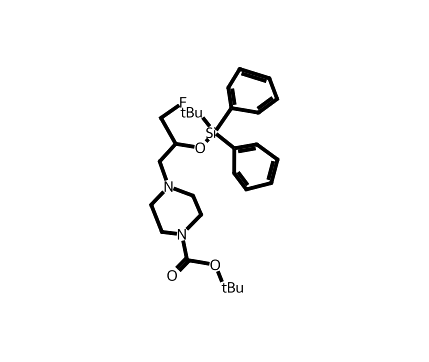 CC(C)(C)OC(=O)N1CCN(CC(CF)O[Si](c2ccccc2)(c2ccccc2)C(C)(C)C)CC1